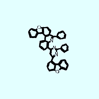 c1ccc(-c2nc(-c3cccc4c3nc(-c3ccccc3)c3ccc5oc6ccccc6c5c34)cc(-c3cccc4oc5ccccc5c34)n2)cc1